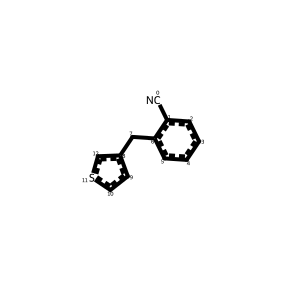 N#Cc1ccccc1Cc1ccsc1